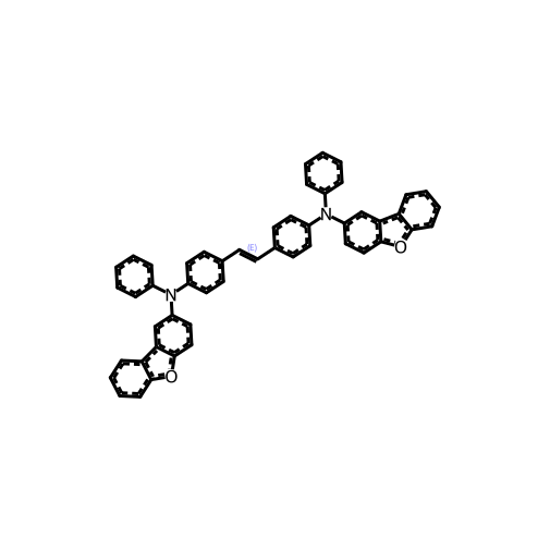 C(=C\c1ccc(N(c2ccccc2)c2ccc3oc4ccccc4c3c2)cc1)/c1ccc(N(c2ccccc2)c2ccc3oc4ccccc4c3c2)cc1